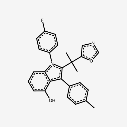 [CH2]c1ccc(-c2c(C(C)(C)c3cnco3)n(-c3ccc(F)cc3)c3cccc(O)c23)cc1